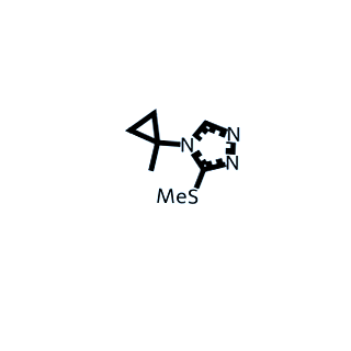 CSc1nncn1C1(C)CC1